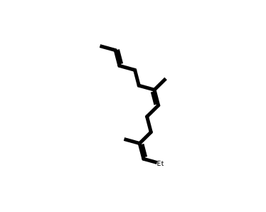 [CH2]CC=C(C)CCC=C(C)CCC=CC